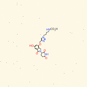 O=C(O)NCCCCn1cc(COc2cc(O)cc3c2CN(C2CCC(=O)NC2=O)C3=O)nn1